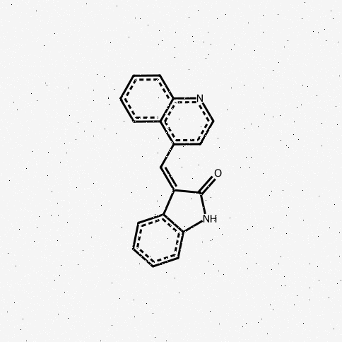 O=C1Nc2ccccc2C1=Cc1ccnc2ccccc12